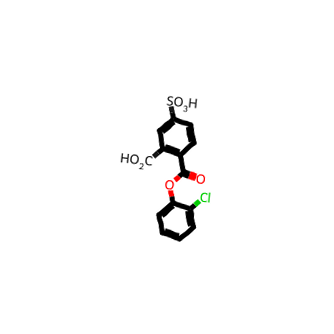 O=C(O)c1cc(S(=O)(=O)O)ccc1C(=O)Oc1ccccc1Cl